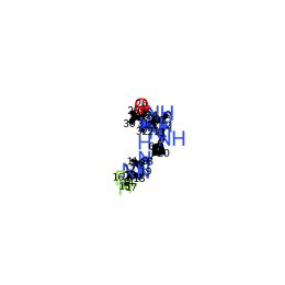 Cc1nc(N[C@H]2C[C@@H](CNc3cnc(C(F)(F)F)cn3)C2)nc2c1NC(=O)C(C(C)C)N2C